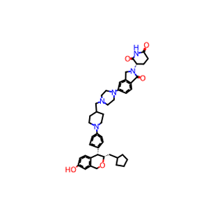 O=C1CC[C@H](N2Cc3cc(N4CCN(CC5CCN(c6ccc([C@H]7c8ccc(O)cc8CO[C@H]7CC7CCCC7)cc6)CC5)CC4)ccc3C2=O)C(=O)N1